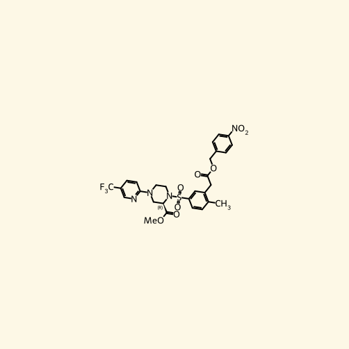 COC(=O)[C@H]1CN(c2ccc(C(F)(F)F)cn2)CCN1S(=O)(=O)c1ccc(C)c(CC(=O)OCc2ccc([N+](=O)[O-])cc2)c1